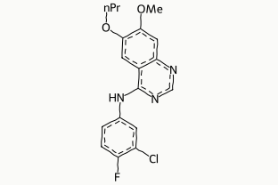 CCCOc1cc2c(Nc3ccc(F)c(Cl)c3)ncnc2cc1OC